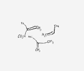 C=C(C)C#N.C=C(CC)C(=O)O.C=CC#N